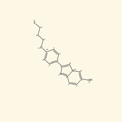 Oc1ccc2nc(-c3ccc(OCCCF)cc3)cn2c1